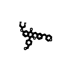 O=CN1CCC(n2c(=O)n(Cc3cccc(CN4CCOCC4)c3)c(=O)c3cc(OC(CF)CF)ccc32)CC1